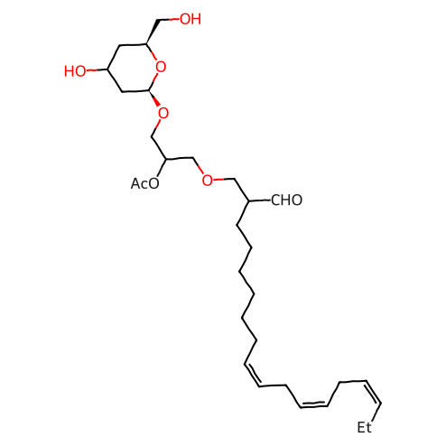 CC/C=C\C/C=C\C/C=C\CCCCCCC(C=O)COCC(CO[C@H]1CC(O)C[C@@H](CO)O1)OC(C)=O